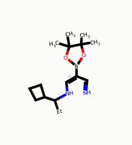 CCC(N/C=C(\C=N)B1OC(C)(C)C(C)(C)O1)C1CCC1